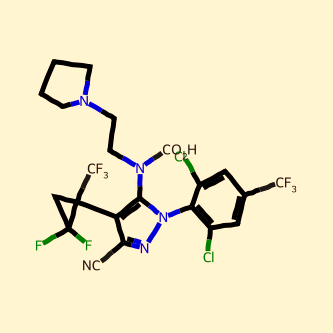 N#Cc1nn(-c2c(Cl)cc(C(F)(F)F)cc2Cl)c(N(CCN2CCCC2)C(=O)O)c1C1(C(F)(F)F)CC1(F)F